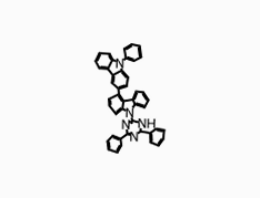 c1ccc(C2=NC(c3ccccc3)NC(n3c4ccccc4c4c(-c5ccc6c(c5)c5ccccc5n6-c5ccccc5)cccc43)=N2)cc1